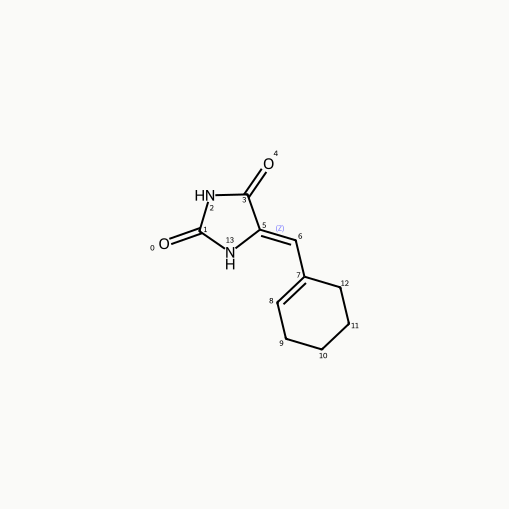 O=C1NC(=O)/C(=C/C2=CCCCC2)N1